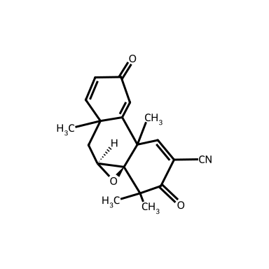 CC12C=CC(=O)C=C1C1(C)C=C(C#N)C(=O)C(C)(C)[C@@]13O[C@H]3C2